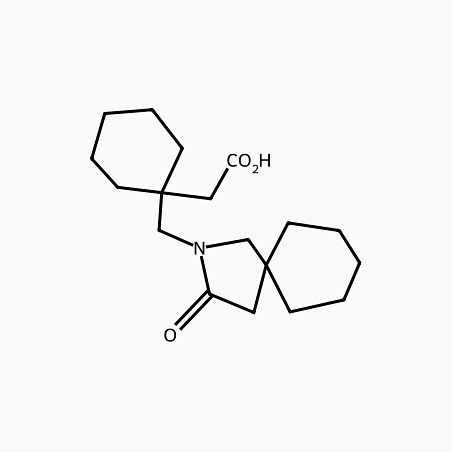 O=C(O)CC1(CN2CC3(CCCCC3)CC2=O)CCCCC1